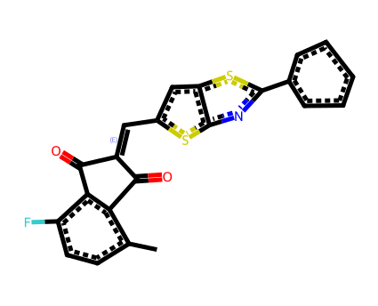 Cc1ccc(F)c2c1C(=O)/C(=C\c1cc3sc(-c4ccccc4)nc3s1)C2=O